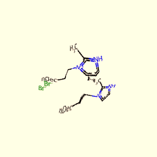 CCCCCCCCCCCC[n+]1cc[nH]c1C.CCCCCCCCCCCC[n+]1cc[nH]c1C.[Br-].[Br-]